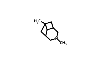 CN1CC2CC3(C)CC(C1)C23